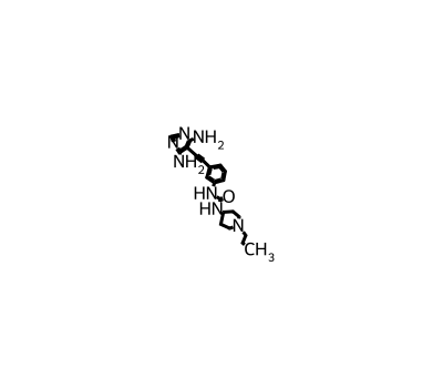 CCCN1CCC(NC(=O)Nc2cccc(C#Cc3c(N)ncnc3N)c2)CC1